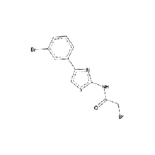 O=C(CBr)Nc1nc(-c2cccc(Br)c2)cs1